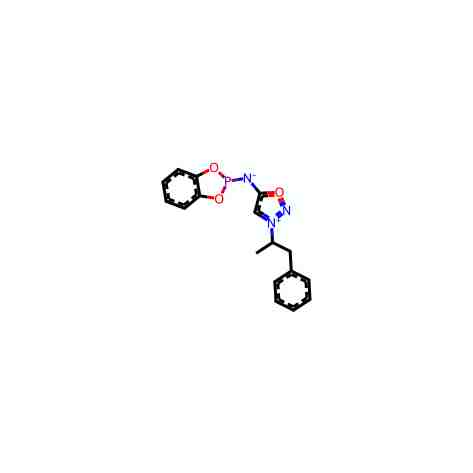 CC(Cc1ccccc1)[n+]1cc([N-]P2Oc3ccccc3O2)on1